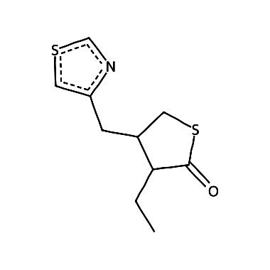 CCC1C(=O)SCC1Cc1cscn1